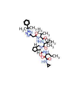 CCCC(NC(=O)[C@@H]1[C@H]2CCC[C@H]2CN1C(=O)[C@@H](NC(=O)[C@@H](NC(=O)Cc1nnn(C(C)(C)c2ccccc2)n1)C(C)C)C(C)(C)C)C(=O)C(=O)NC1CC1